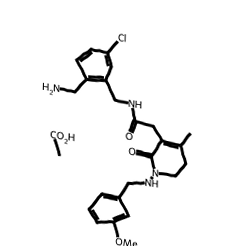 CC(=O)O.COc1cccc(CNN2CCC(C)=C(CC(=O)NCc3cc(Cl)ccc3CN)C2=O)c1